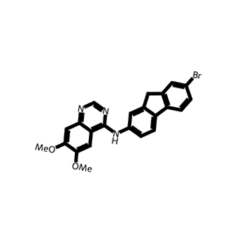 COc1cc2ncnc(Nc3ccc4c(c3)Cc3cc(Br)ccc3-4)c2cc1OC